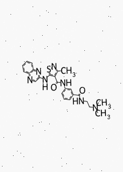 Cc1nsc(Nc2cnc3ccccc3n2)c1C(=O)Nc1cccc(C(=O)NCCN(C)C)c1